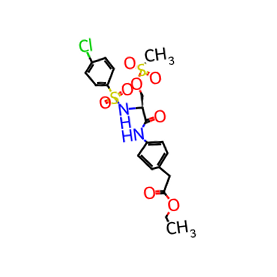 CCOC(=O)Cc1ccc(NC(=O)[C@H](COS(C)(=O)=O)NS(=O)(=O)c2ccc(Cl)cc2)cc1